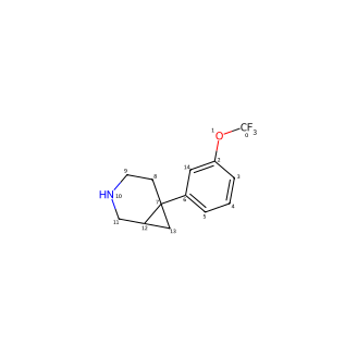 FC(F)(F)Oc1cccc(C23CCNCC2C3)c1